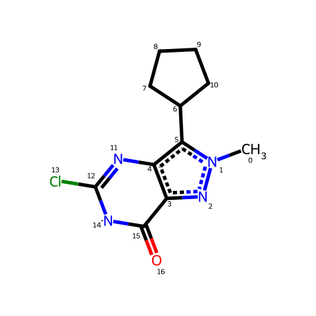 Cn1nc2c(c1C1CCCC1)N=C(Cl)[N]C2=O